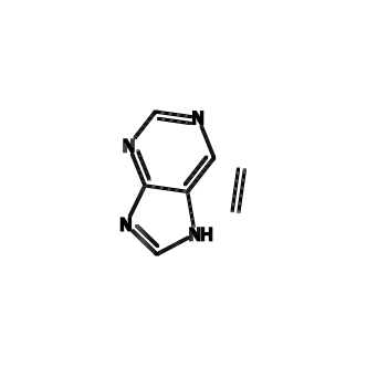 C=C.c1ncc2[nH]cnc2n1